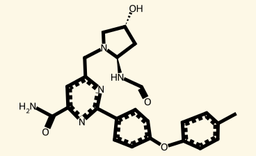 Cc1ccc(Oc2ccc(-c3nc(CN4C[C@H](O)C[C@H]4NC=O)cc(C(N)=O)n3)cc2)cc1